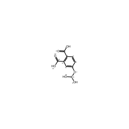 O=C(O)c1ccc(OB(O)O)cc1C(=O)O